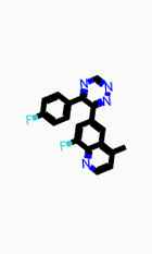 Cc1ccnc2c(F)cc(-c3nncnc3-c3ccc(F)cc3)cc12